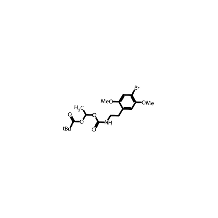 COc1cc(CCNC(=O)OC(C)OC(=O)C(C)(C)C)c(OC)cc1Br